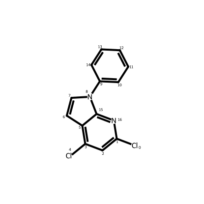 Clc1cc(Cl)c2ccn(-c3ccccc3)c2n1